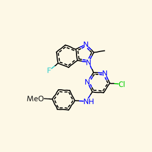 COc1ccc(Nc2cc(Cl)nc(-n3c(C)nc4ccc(F)cc43)n2)cc1